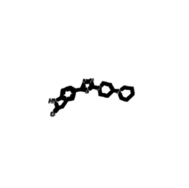 O=C1Cc2cc(-c3nnc(N4CCC(N5CCCCC5)CC4)s3)ccc2N1